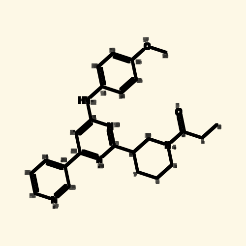 CCC(=O)N1CCCC(c2nc(Nc3ccc(OC)cc3)cc(-c3cccnc3)n2)C1